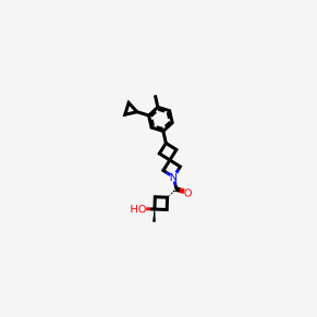 Cc1ccc(C2CC3(C2)CN(C(=O)[C@H]2C[C@@](C)(O)C2)C3)cc1C1CC1